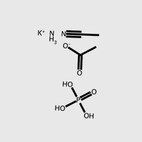 CC#N.CC(=O)[O-].N.O=P(O)(O)O.[K+]